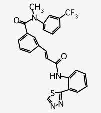 CN(C(=O)c1cccc(C=CC(=O)Nc2ccccc2-c2nncs2)c1)c1cccc(C(F)(F)F)c1